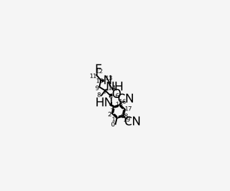 Cc1cc(NC(=O)C2(C)CC(CF)=NN2)c(C#N)cc1C#N